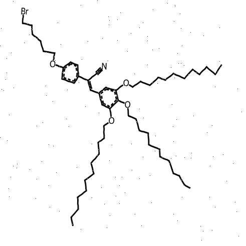 CCCCCCCCCCCCOc1cc(/C=C(\C#N)c2ccc(OCCCCCCBr)cc2)cc(OCCCCCCCCCCCC)c1OCCCCCCCCCCCC